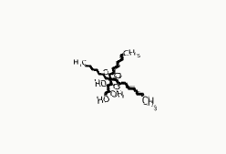 CCCCCCCCC(C(=O)CCCCCCC)(C(=O)CCCCCCC)C(=O)C(O)C(O)CO